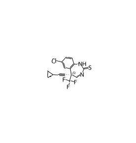 FC(F)(F)[C@]1(C#CC2CC2)C=NC(=S)Nc2ccc(Cl)cc21